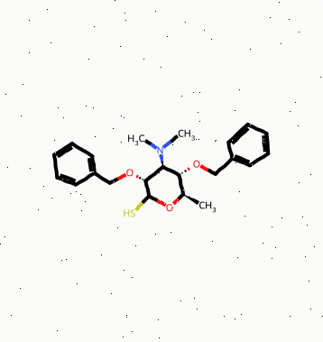 C[C@H]1OC(S)[C@H](OCc2ccccc2)[C@@H](N(C)C)[C@@H]1OCc1ccccc1